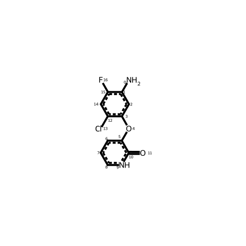 Nc1cc(Oc2ccc[nH]c2=O)c(Cl)cc1F